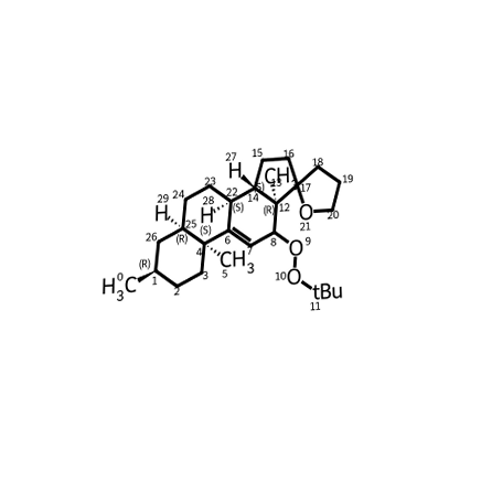 C[C@@H]1CC[C@]2(C)C3=CC(OOC(C)(C)C)[C@@]4(C)[C@@H](CCC45CCCO5)[C@@H]3CC[C@@H]2C1